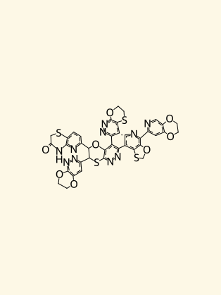 O=C1CSc2ccc(C3Oc4c(nnc(-c5[c]nc(-c6cc7c(cn6)OCCO7)c6c5SCO6)c4-c4cc5c(nn4)OCCS5)SC3c3cc4c(nn3)OCCO4)nc2N1